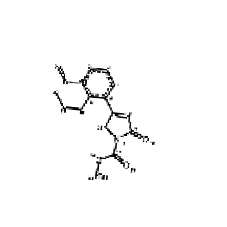 C=Nc1cccc(C2=CC(=O)N(C(=O)OC(C)(C)C)C2)c1/C=C\C